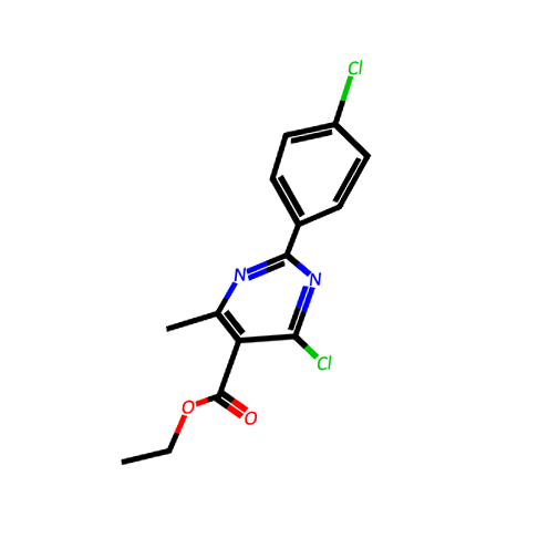 CCOC(=O)c1c(C)nc(-c2ccc(Cl)cc2)nc1Cl